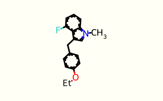 CCOc1ccc(Cc2cn(C)c3cccc(F)c23)cc1